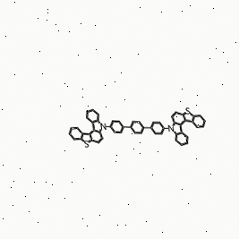 c1ccc2c(c1)sc1ccc3c(c4ccccc4n3-c3ccc(-c4ccc(-c5ccc(-n6c7ccccc7c7c8c(ccc76)sc6ccccc68)cc5)cc4)cc3)c12